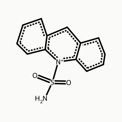 NS(=O)(=O)[n+]1c2ccccc2cc2ccccc21